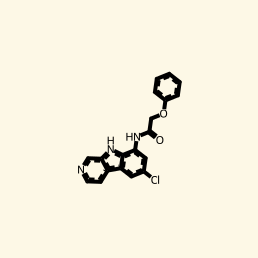 O=C(COc1ccccc1)Nc1cc(Cl)cc2c1[nH]c1cnccc12